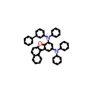 c1ccc(-c2cccc(N(c3ccccc3)c3cc(N(c4ccccc4)c4ccccc4)cc4c3oc3ccc5ccccc5c34)c2)cc1